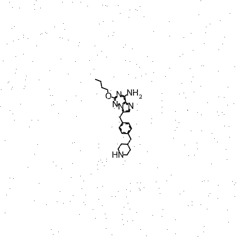 CCCCOc1nc(N)c2ncc(Cc3ccc(CC4CCNCC4)cc3)n2n1